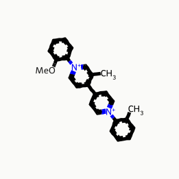 COc1ccccc1-[n+]1ccc(-c2cc[n+](-c3ccccc3C)cc2)c(C)c1